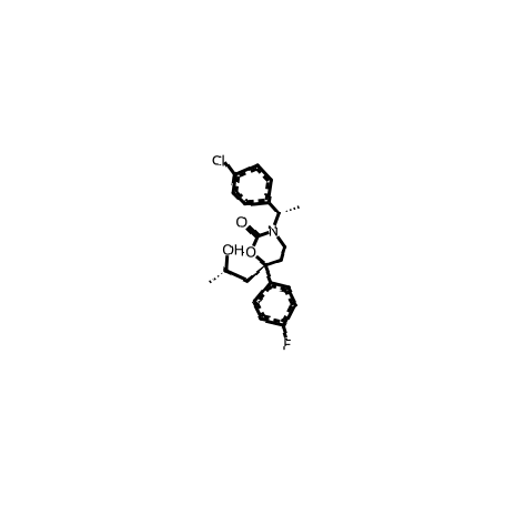 C[C@H](O)C[C@]1(c2ccc(F)cc2)CCN([C@@H](C)c2ccc(Cl)cc2)C(=O)O1